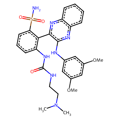 COc1cc(Nc2nc3ccccc3nc2-c2c(NC(=O)NCCN(C)C)cccc2S(N)(=O)=O)cc(OC)c1